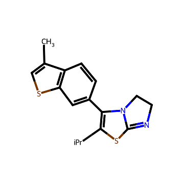 Cc1csc2cc(C3=C(C(C)C)SC4=NCCN43)ccc12